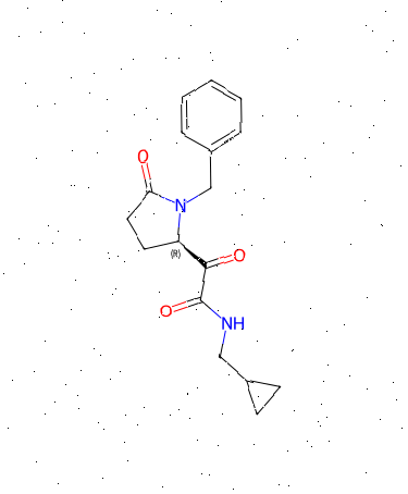 O=C(NCC1CC1)C(=O)[C@H]1CCC(=O)N1Cc1ccccc1